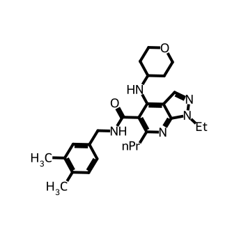 CCCc1nc2c(cnn2CC)c(NC2CCOCC2)c1C(=O)NCc1ccc(C)c(C)c1